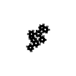 c1ccc(-c2nc(-c3cccc4ccccc34)nc(-c3cccc4sc5cc6c(-c7ccccc7)cccc6cc5c34)n2)cc1